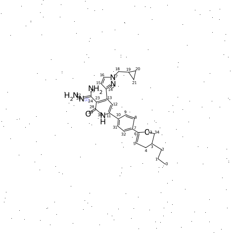 CCCC1CC=C(c2ccc(-c3cc(-c4ccn(CC5CC5)n4)c(/C(N)=N/N)c(=O)[nH]3)cc2)CC1